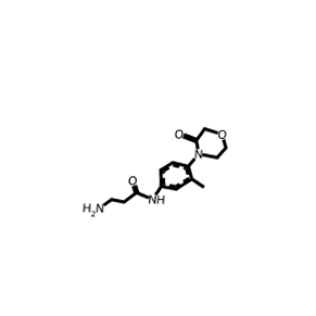 Cc1cc(NC(=O)CCN)ccc1N1CCOCC1=O